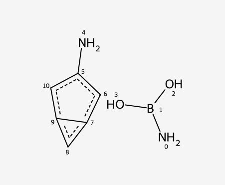 NB(O)O.Nc1cc2cc-2c1